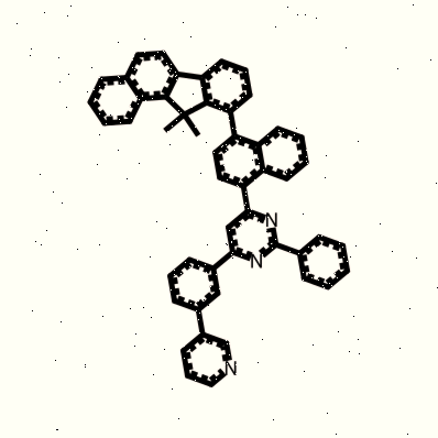 CC1(C)c2c(cccc2-c2ccc(-c3cc(-c4cccc(-c5cccnc5)c4)nc(-c4ccccc4)n3)c3ccccc23)-c2ccc3ccccc3c21